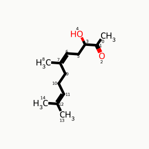 CC(=O)C(O)CC=C(C)CCC=C(C)C